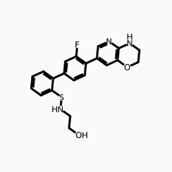 OCCNSc1ccccc1-c1ccc(-c2cnc3c(c2)OCCN3)c(F)c1